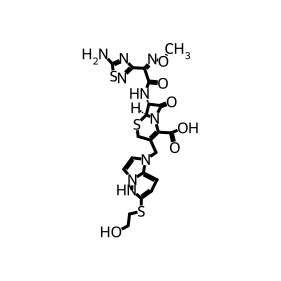 CO/N=C(\C(=O)N[C@@H]1C(=O)N2C(C(=O)O)=C(CN3C=CN4NC(SCCO)=CC=C34)CS[C@@H]12)c1nsc(N)n1